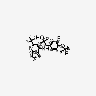 CC(C)(C)c1cc(N[C@@H](c2ccc(OC(F)(F)F)c(F)c2)C(C)(C)O)n2ncnc2n1